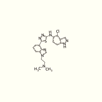 CN(C)CCn1cnc2c(-c3nnc(Nc4ccc5[nH]ncc5c4Cl)s3)cccc21